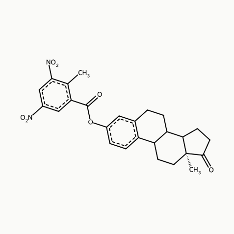 Cc1c(C(=O)Oc2ccc3c(c2)CCC2C3CC[C@]3(C)C(=O)CCC23)cc([N+](=O)[O-])cc1[N+](=O)[O-]